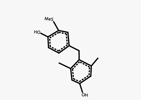 CSc1cc(Cc2c(C)cc(O)cc2C)ccc1O